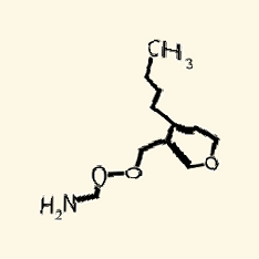 CCCCC1=CCOC=C1COOCN